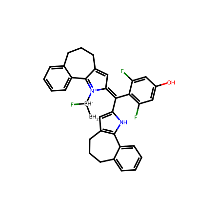 B[BH-](F)[N+]1=C2C(=C/C1=C(/c1cc3c([nH]1)-c1ccccc1CCC3)c1c(F)cc(O)cc1F)CCCc1ccccc12